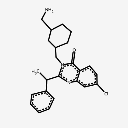 CC(c1ccccc1)c1nc2cc(Cl)ccc2c(=O)n1CC1CCCC(CN)C1